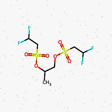 CC(COS(=O)(=O)CC(F)F)OS(=O)(=O)CC(F)F